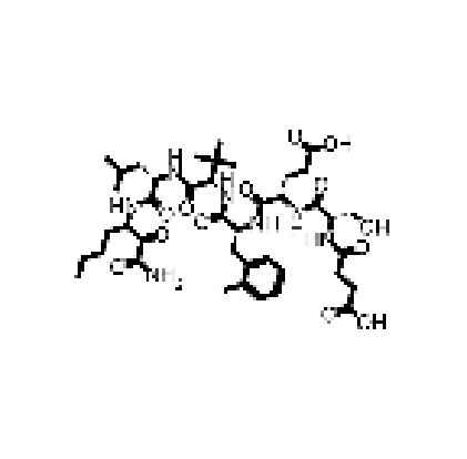 CCCCC(NC(=O)[C@H](CC(C)C)NC(=O)[C@@H](NC(=O)[C@H](Cc1ccccc1C)NC(=O)[C@H](CCC(=O)O)NC(=O)[C@H](CO)NC(=O)CCC(=O)O)C(C)(C)C)C(=O)C(N)=O